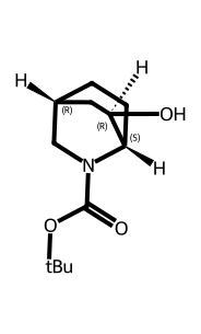 CC(C)(C)OC(=O)N1C[C@@H]2CC[C@H]1[C@H](O)C2